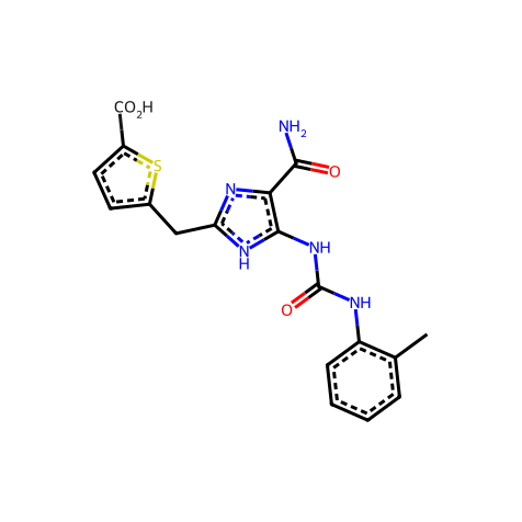 Cc1ccccc1NC(=O)Nc1[nH]c(Cc2ccc(C(=O)O)s2)nc1C(N)=O